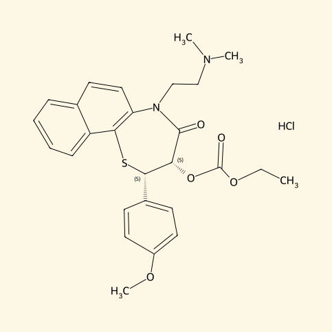 CCOC(=O)O[C@H]1C(=O)N(CCN(C)C)c2ccc3ccccc3c2S[C@H]1c1ccc(OC)cc1.Cl